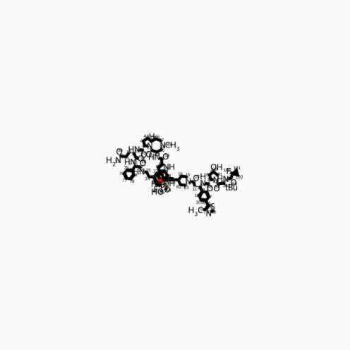 Cc1ncsc1-c1ccc([C@H](CC(=O)N2CCC(C#Cc3ccc(CCNC(=O)[C@@H](NC(=O)[C@H](CCC(N)=O)NC(=O)[C@@H]4CC[C@@H]5CCN(C)C[C@H](NC(=O)c6cc7cc(C(F)(F)P(=O)(O)O)ccc7[nH]6)C(=O)N54)c4ccccc4)cc3)CC2)NC(=O)[C@@H]2C[C@@H](O)CN2C(=O)[C@@H](NC(=O)C2(F)CC2)C(C)(C)C)cc1